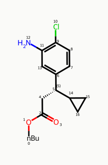 CCCCOC(=O)C[C@H](c1ccc(Cl)c(N)c1)C1CC1